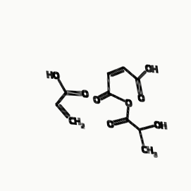 C=CC(=O)O.CC(O)C(=O)OC(=O)/C=C\C(=O)O